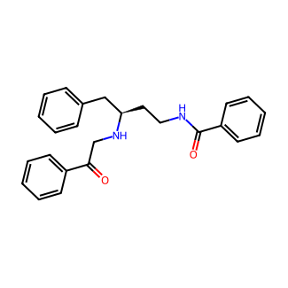 O=C(CN[C@H](CCNC(=O)c1ccccc1)Cc1ccccc1)c1ccccc1